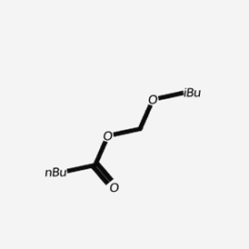 CCCCC(=O)OCOC(C)CC